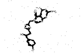 Cc1nc(N)nc2ncn(Cc3nc(CC(O)c4ccc(Cl)cc4)no3)c(=O)c12